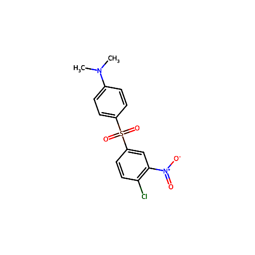 CN(C)c1ccc(S(=O)(=O)c2ccc(Cl)c([N+](=O)[O-])c2)cc1